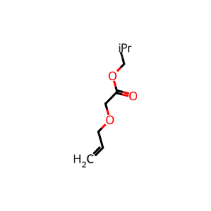 C=CCOCC(=O)OCC(C)C